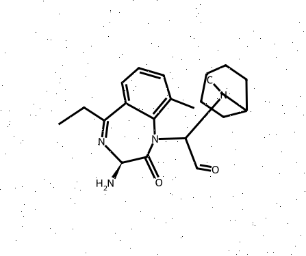 CCC1=N[C@H](N)C(=O)N(C(C=O)N2CC3CCC(CC3)C2)c2c(C)cccc21